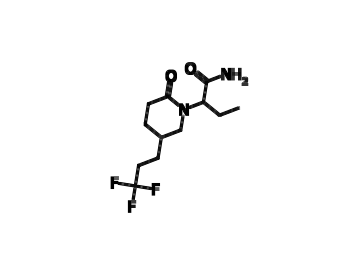 CCC(C(N)=O)N1CC(CCC(F)(F)F)CCC1=O